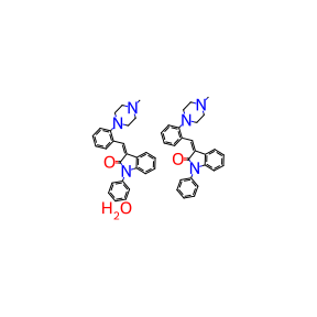 CN1CCN(c2ccccc2C=C2C(=O)N(c3ccccc3)c3ccccc32)CC1.CN1CCN(c2ccccc2C=C2C(=O)N(c3ccccc3)c3ccccc32)CC1.O